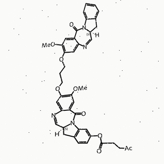 COc1cc2c(cc1OCCCOc1cc3c(cc1OC)C(=O)N1c4cc(OC(=O)CCC(C)=O)ccc4C[C@H]1C=N3)N=C[C@@H]1Cc3ccccc3N1C2=O